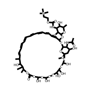 COC12CC(O)CC(O)C(O)CCC(O)CC(O)CC(=O)OC(C)C(C)C(O)C(C)/C=C/C=C/C=C/C=C/C=C/C=C/C=C/C(OC3OC(C)C(O)C(NC(=O)OCC[Si](C)(C)C)C3O)CC(O1)C(NC(C)=O)C(O)C2